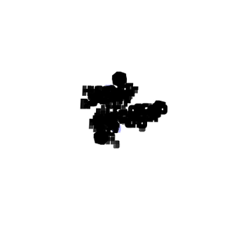 C/C=C\c1cc(C(OCc2ccccc2)(C(F)(F)F)C(F)(F)F)ccc1N1C[C@H](C)N(C(=O)CBr)C[C@H]1C.C/C=C\c1cc(C(OCc2ccccc2)(C(F)(F)F)C(F)(F)F)ccc1N1C[C@H](C)N(C(=O)CN2C(=O)N[C@](C)(c3cc4ccoc4cn3)C2=O)CC1C